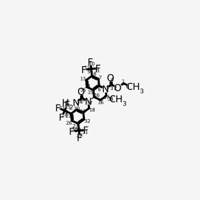 CCOC(=O)N1c2cc(C(F)(F)F)ccc2[C@@H](N(Cc2cc(C(F)(F)F)cc(C(F)(F)F)c2)C(N)=O)C[C@H]1C